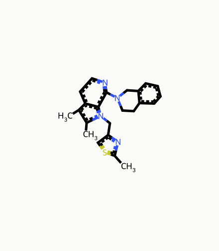 Cc1nc(Cn2c(C)c(C)c3ccnc(N4CCc5ccccc5C4)c32)cs1